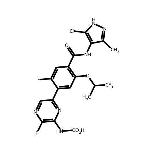 Cc1n[nH]c(Cl)c1NC(=O)c1cc(F)c(-c2cnc(F)c(NC(=O)O)n2)cc1OC(C)C(F)(F)F